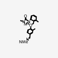 CNN=Cc1ccc(OCc2c(C)cccc2-n2nnn(C)c2=O)c(C)c1